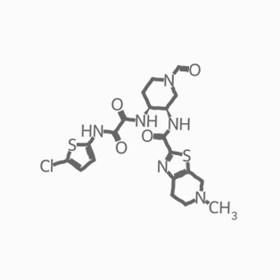 CN1CCc2nc(C(=O)N[C@@H]3CN(C=O)CC[C@@H]3NC(=O)C(=O)Nc3ccc(Cl)s3)sc2C1